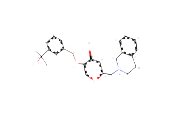 CC(C)(O)c1cccc(COc2coc(CN3CCc4ccccc4C3)cc2=O)c1